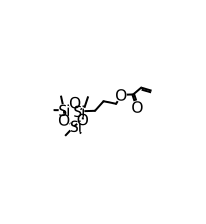 C=CC(=O)OCCC[Si]1(C)O[Si](C)(C)O[Si](C)(C)O1